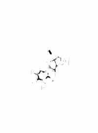 C#C[C@]1(CO)O[C@@H](n2cc(F)c(=O)[nH]c2=S)[C@@H](F)[C@H]1O